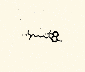 O=C(CCCCCCN1c2ccc(Br)c3cccc(c23)S1(=O)=O)NO